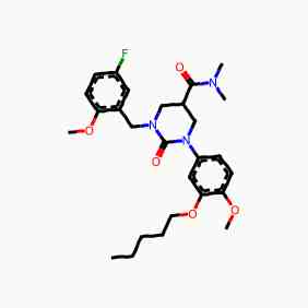 CCCCCOc1cc(N2CC(C(=O)N(C)C)CN(Cc3cc(F)ccc3OC)C2=O)ccc1OC